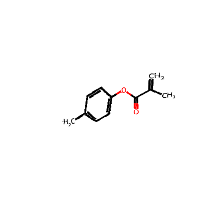 [CH2]c1ccc(OC(=O)C(=C)C)cc1